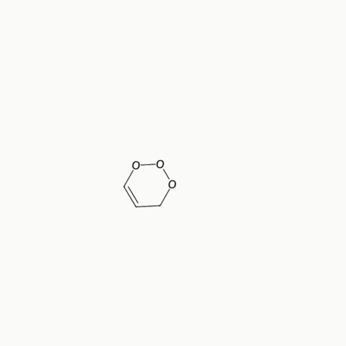 C1=COOOC1